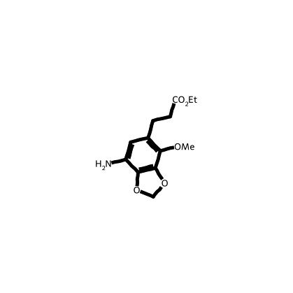 CCOC(=O)CCc1cc(N)c2c(c1OC)OCO2